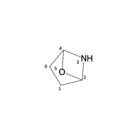 C1CC2NC1O2